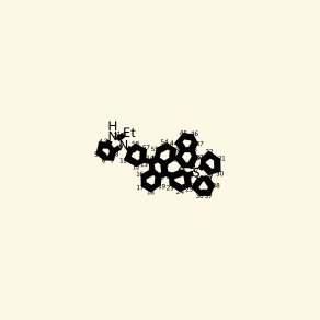 CCC1Nc2ccccc2N1c1ccc(-c2c3ccccc3c(-c3cccc(S(c4ccccc4)(c4ccccc4)c4ccc5ccccc5c4)c3)c3ccccc23)cc1